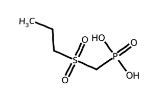 CCCS(=O)(=O)CP(=O)(O)O